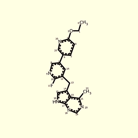 CCOc1ccc(-c2[c]nc(F)c(Cc3c[nH]c4ncnc(C)c34)c2)cn1